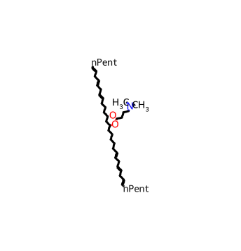 CCCCCC=CCC=CCC=CCCCCCC(CCCCCC=CCC=CCC=CCCCCC)OC(=O)CCCN(C)C